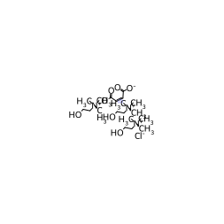 C[N+](C)(C)CCO.C[N+](C)(C)CCO.C[N+](C)(C)CCO.O=C([O-])/C=C\C(=O)[O-].[Cl-]